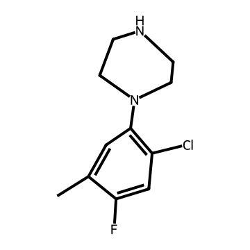 Cc1cc(N2CCNCC2)c(Cl)cc1F